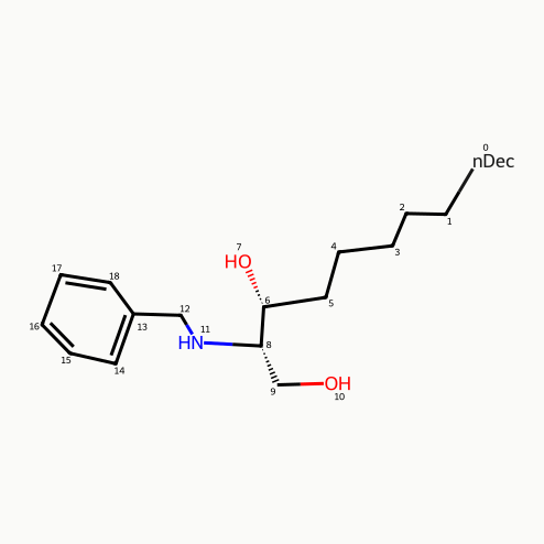 CCCCCCCCCCCCCCC[C@@H](O)[C@H](CO)NCc1ccccc1